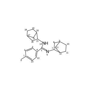 Cc1ccc(C(=NC2CC3CCC2C3)NC2CC3CCC2C3)cc1